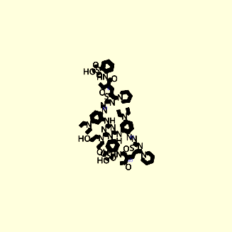 CCN(CC)c1ccc(/N=N/c2nc(N3CCCCC3)c(/C=C(/C(C)=O)C(=O)Nc3ccccc3S(=O)(=O)O)s2)c(Nc2nc(Nc3cc(N(CC)CC)ccc3/N=N/c3nc(N4CCCCC4)c(/C=C(\C(C)=O)C(=O)Nc4ccccc4S(=O)(=O)O)s3)nc(N(CCO)CCO)n2)c1